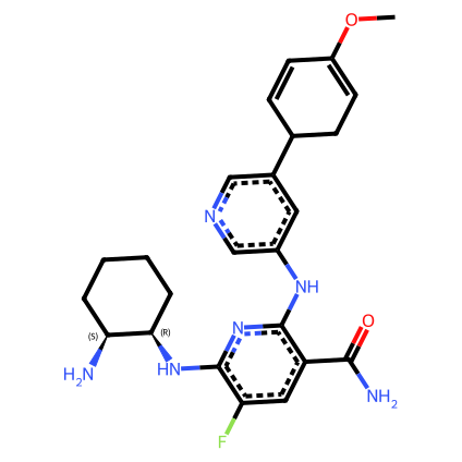 COC1=CCC(c2cncc(Nc3nc(N[C@@H]4CCCC[C@@H]4N)c(F)cc3C(N)=O)c2)C=C1